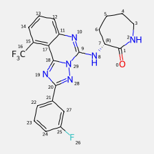 O=C1NCCCC[C@H]1Nc1nc2cccc(C(F)(F)F)c2c2nc(-c3cccc(F)c3)nn12